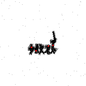 C=CCN(CC=C)c1ccc(C#N)cc1[N+](=O)[O-].C=CCN(c1ccc([N+](=O)[O-])c(C(F)(F)F)c1)C1CCCCC1.CCCCCCCCN(C)c1ccc(C#N)c([N+](=O)[O-])c1.CCCCN(CCCC)c1ccc(C#N)c(C(F)(F)F)c1.CCCN(CC1CC1)c1ccc([N+](=O)[O-])cc1C(F)(F)F.COCCN(C)c1ccc(C#N)cc1C(F)(F)F